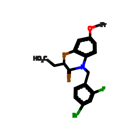 CC(C)Oc1ccc2c(c1)SC(CC(=O)O)C(=S)N2Cc1ccc(Br)cc1F